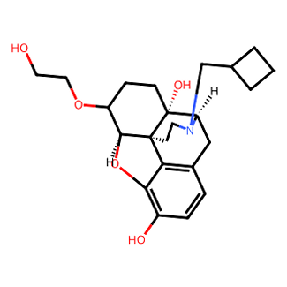 OCCOC1CC[C@@]2(O)[C@H]3Cc4ccc(O)c5c4[C@@]2(CCN3CC2CCC2)[C@H]1O5